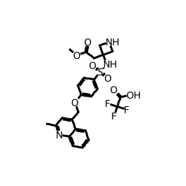 COC(=O)CC1(NS(=O)(=O)c2ccc(OCc3cc(C)nc4ccccc34)cc2)CNC1.O=C(O)C(F)(F)F